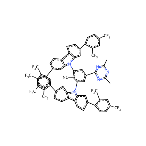 Cc1nc(C)nc(-c2cc(-n3c4cc(-c5ccc(C(F)(F)F)cc5C(F)(F)F)ccc4c4ccc(-c5ccc(C(F)(F)F)cc5C(F)(F)F)cc43)c(C#N)c(-n3c4cc(-c5ccc(C(F)(F)F)cc5C(F)(F)F)ccc4c4ccc(-c5ccc(C(F)(F)F)cc5C(F)(F)F)cc43)c2)n1